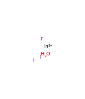 O.[I-].[I-].[I-].[In+3]